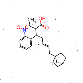 CCC(C(=O)O)C(CC=CCC12CCC(CC1)C2)c1ccccc1[N+](=O)[O-]